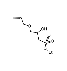 C=CCOCC(O)CS(=O)(=O)OCC